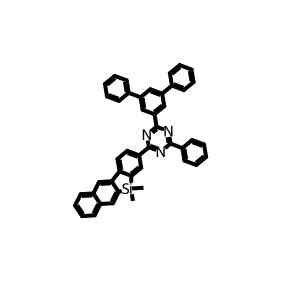 C[Si]1(C)c2cc(-c3nc(-c4ccccc4)nc(-c4cc(-c5ccccc5)cc(-c5ccccc5)c4)n3)ccc2-c2cc3ccccc3cc21